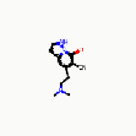 CN(C)CCc1cc2cc[nH]n2c(=O)c1C#N